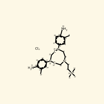 Cc1cc(N2CCN(CC[N+](C)(C)C)CCN(c3ccc(N)c(C)c3)CC2)ccc1N.[Cl-]